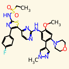 CCS(=O)(=O)Nc1nc(-c2ccc(F)cc2)c(-c2ccnc(Nc3cc(-c4cnn(C)c4)c(N4CCOCC4)cc3OC)n2)s1